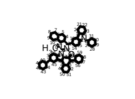 CN1c2c(ccc3ccccc23)C(c2ccc3c(c2)c2ccccc2n3-c2ccccc2)=NC1n1c2ccc(-c3ccccc3)cc2c2c3ccccc3c3c4ccccc4oc3c21